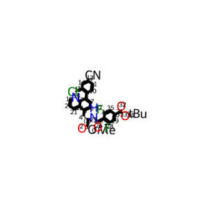 COC(=O)[C@H](Cc1ccc(-c2ccc(C#N)cc2Cl)c2ncccc12)NC(=O)c1c(F)cc(C(=O)OC(C)(C)C)cc1F